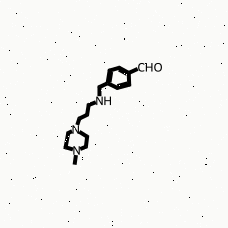 CN1CCN(CCCNCc2ccc(C=O)cc2)CC1